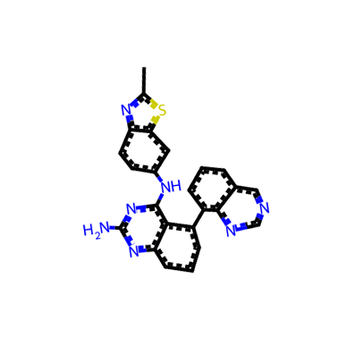 Cc1nc2ccc(Nc3nc(N)nc4cccc(-c5cccc6cncnc56)c34)cc2s1